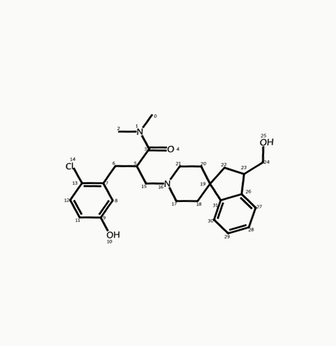 CN(C)C(=O)C(Cc1cc(O)ccc1Cl)CN1CCC2(CC1)CC(CO)c1ccccc12